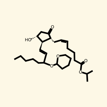 CCCCCC(/C=C/[C@H]1[C@H](O)CC(=O)[C@@H]1C/C=C\CCCC(=O)OC(C)C)OC1CCCCO1